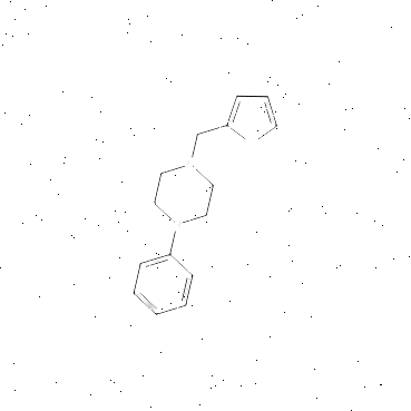 c1ccc(N2CCN(Cc3ccco3)CC2)cc1